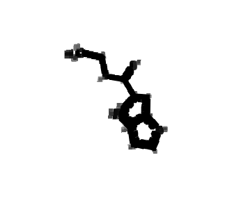 CCSC(=O)c1cc2occc2[nH]1